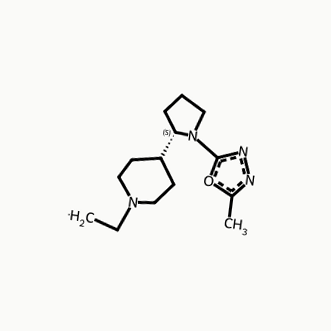 [CH2]CN1CCC([C@@H]2CCCN2c2nnc(C)o2)CC1